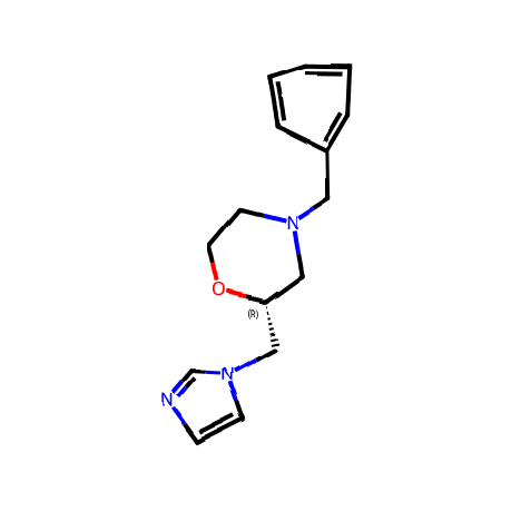 c1ccc(CN2CCO[C@@H](Cn3ccnc3)C2)cc1